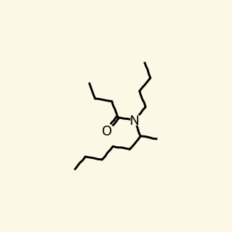 CCCCCC(C)N(CCCC)C(=O)CCC